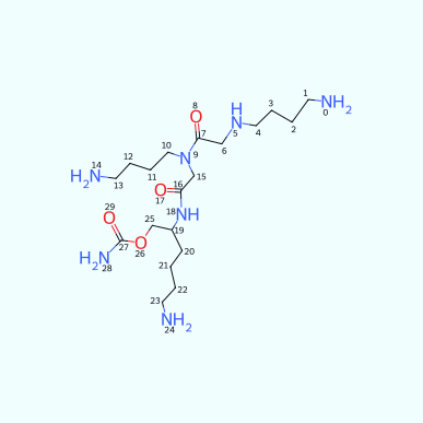 NCCCCNCC(=O)N(CCCCN)CC(=O)NC(CCCCN)COC(N)=O